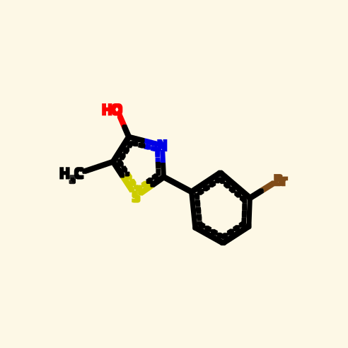 Cc1sc(-c2cccc(Br)c2)nc1O